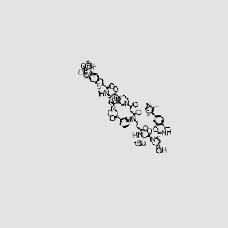 Cc1ncsc1-c1ccc(C(C)NC(=O)[C@@H]2C[C@@H](O)CN2C(=O)C(NC(=O)CCNC(=O)CC(=O)N2CCN(C(=O)C(NC(=O)c3cc4cc(C(F)(F)P(=O)(O)O)ccc4s3)C(C)(C)C)[C@H](C(=O)N3CCO[C@H](c4ccccc4)C3)C2)C(C)(C)C)cc1